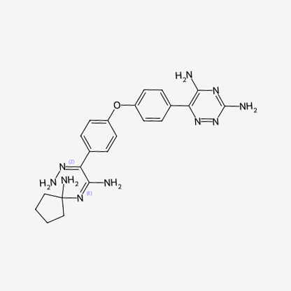 N/N=C(\C(N)=N/C1(N)CCCC1)c1ccc(Oc2ccc(-c3nnc(N)nc3N)cc2)cc1